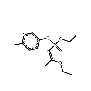 CCO/C(C)=N\P(=S)(OCC)Oc1ccc(C)nc1